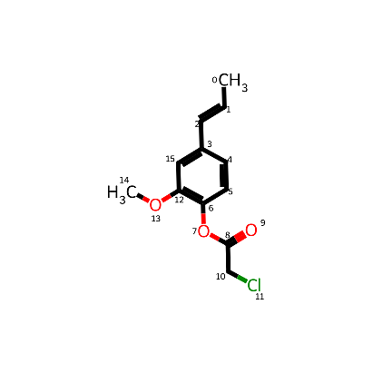 C/C=C/c1ccc(OC(=O)CCl)c(OC)c1